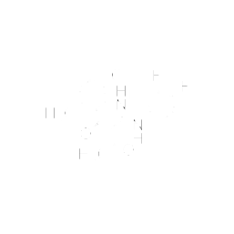 CC(=O)c1c(Nc2ccc(F)c(F)c2F)[nH]c2c(Cl)ccc(C)c2c1=O